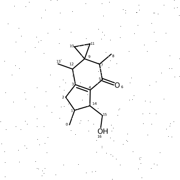 CC1CC2=C(C(=O)C(C)C3(CC3)C2C)C1CO